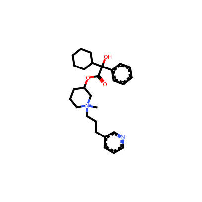 C[N+]1(CCCc2cccnc2)CCCC(OC(=O)C(O)(c2ccccc2)C2CCCCC2)C1